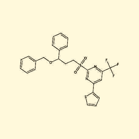 O=S(=O)(CCC(OCc1ccccc1)c1ccccc1)c1nc(-c2cccs2)cc(C(F)(F)F)n1